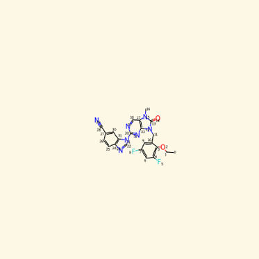 CCOc1c(F)cc(F)cc1Cn1c(=O)n(C)c2cnc(-n3cnc4ccc(C#N)cc43)nc21